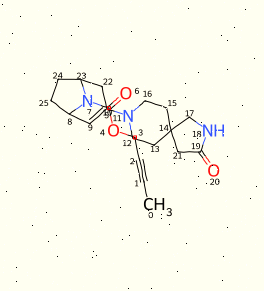 CC#CCOC(=O)N1C2C=C(N3CCC4(CC3)CNC(=O)C4)CC1CC2